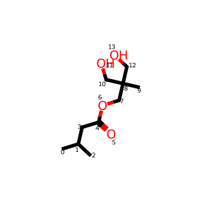 CC(C)CC(=O)OCC(C)(CO)CO